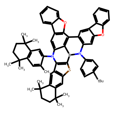 Cc1cc2c(cc1N1c3cc4c(oc5ccccc54)c4c3B(c3sc5cc6c(cc5c31)C(C)(C)CCC6(C)C)N(c1ccc(C(C)(C)C)cc1)c1cc3oc5ccccc5c3cc1-4)C(C)(C)CCC2(C)C